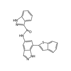 O=C(Nc1cc(-c2cc3ccccc3s2)c2[nH]ncc2c1)c1n[nH]c2ccccc12